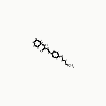 CCCCCc1ccc(C=CC(=O)Nc2ccccc2)cc1